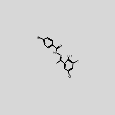 C/C(=N\NC(=O)c1ccc(Br)cc1)c1cc(Cl)cc(Cl)c1O